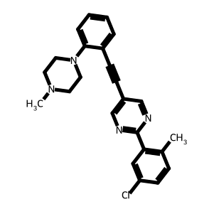 Cc1ccc(Cl)cc1-c1ncc(C#Cc2ccccc2N2CCN(C)CC2)cn1